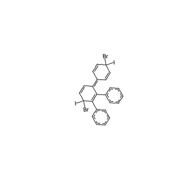 BrC1(I)C=CC(=C2C=CC(Br)(I)C(c3ccccc3)=C2c2ccccc2)C=C1